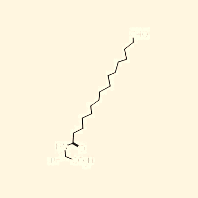 CC(C)[C@H](NC(=O)CCCCCCCCCCCCCCC=O)C(=O)O